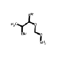 CCCC(OCO[SiH3])C(C)C(C)(C)C